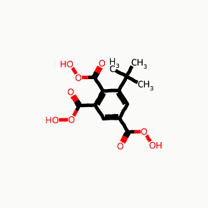 CC(C)(C)c1cc(C(=O)OO)cc(C(=O)OO)c1C(=O)OO